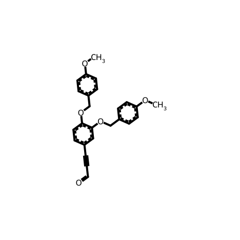 COc1ccc(COc2ccc(C#CC=O)cc2OCc2ccc(OC)cc2)cc1